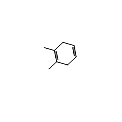 ClC1=C(Cl)CC=CC1